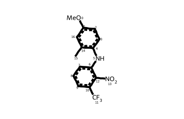 COc1ccc(Nc2cccc(C(F)(F)F)c2[N+](=O)[O-])c(C)c1